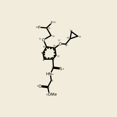 COC(=O)CNC(=S)c1ccc(OCC(F)F)c(OCC2CC2)c1